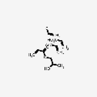 C=CC(=O)O.C=CC(=O)OCC(C)O.C=CCl.C=COC(C)=O